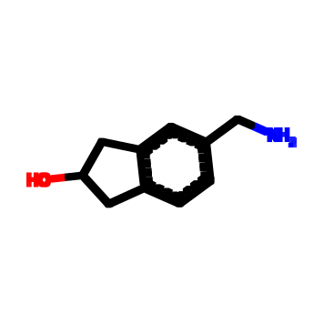 NCc1ccc2c(c1)CC(O)C2